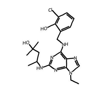 CCn1cnc2c(NCc3cccc(Cl)c3O)nc(NC(C)CC(C)(C)O)nc21